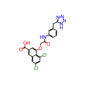 O=C(COc1cc(C(=O)O)cc2cc(Cl)cc(Cl)c12)Nc1cccc(Cc2nnn[nH]2)c1